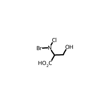 O=C(O)C(CO)N(Cl)Br